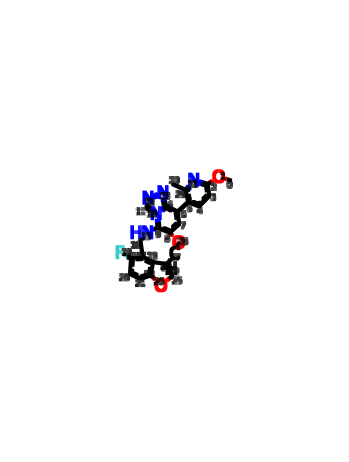 COc1ccc(-c2cc3c(n4cnnc24)NCc2c(F)ccc4c2[C@H](CO4)CO3)c(C)n1